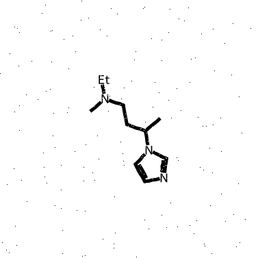 CCN(C)CCC(C)n1ccnc1